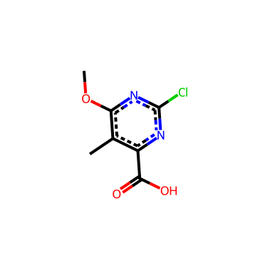 COc1nc(Cl)nc(C(=O)O)c1C